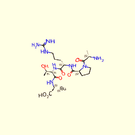 CC[C@H](C)[C@H](NC(=O)[C@@H](NC(=O)[C@H](CCCNC(=N)N)NC(=O)[C@@H]1CCCN1C(=O)[C@H](C)N)[C@@H](C)O)C(=O)O